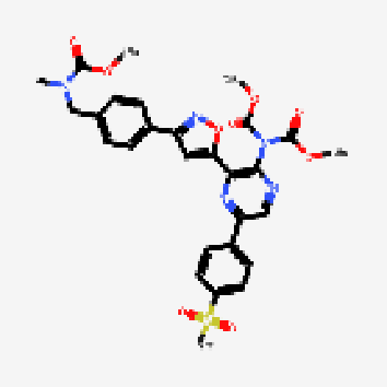 CCCS(=O)(=O)c1ccc(-c2cnc(N(C(=O)OC(C)(C)C)C(=O)OC(C)(C)C)c(-c3cc(-c4ccc(CN(C)C(=O)OC(C)(C)C)cc4)no3)n2)cc1